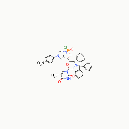 Cc1cn(C2CN(C(c3ccccc3)(c3ccccc3)c3ccccc3)CC(COP(=O)(Cl)N3CCN(c4ccc([N+](=O)[O-])cc4)CC3)O2)c(=O)[nH]c1=O